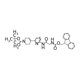 CC(C)(C)OC(=O)N1CC=C(c2csc(NC(=O)CNC(=O)OCC3c4ccccc4-c4ccccc43)n2)CC1